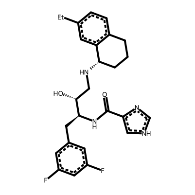 CCc1ccc2c(c1)[C@@H](NC[C@@H](O)[C@H](Cc1cc(F)cc(F)c1)NC(=O)c1c[nH]cn1)CCC2